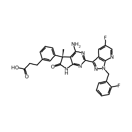 C[C@]1(c2cccc(CCC(=O)O)c2)C(=O)Nc2nc(-c3nn(Cc4ccccc4F)c4ncc(F)cc34)nc(N)c21